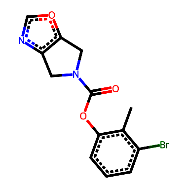 Cc1c(Br)cccc1OC(=O)N1Cc2ncoc2C1